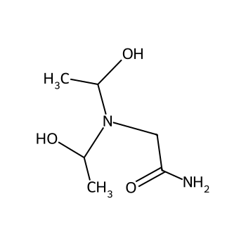 CC(O)N(CC(N)=O)C(C)O